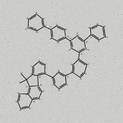 CC1(C)c2cccc(-c3cccc(-c4cccc(-c5nc(-c6ccccc6)nc(-c6ccc(-c7cccnc7)cc6)n5)c4)c3)c2-c2ccc3ccccc3c21